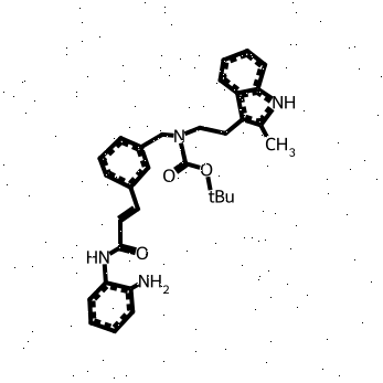 Cc1[nH]c2ccccc2c1CCN(Cc1cccc(C=CC(=O)Nc2ccccc2N)c1)C(=O)OC(C)(C)C